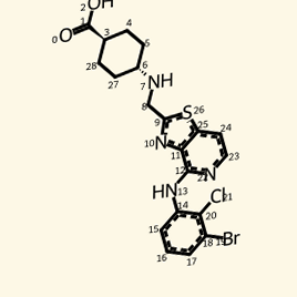 O=C(O)[C@H]1CC[C@H](NCc2nc3c(Nc4cccc(Br)c4Cl)nccc3s2)CC1